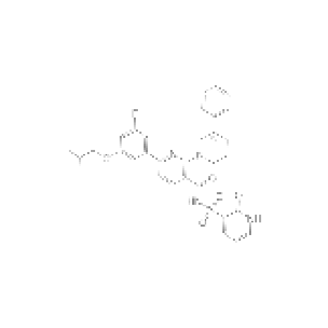 CC(C)COc1cc(F)cc(-c2ccc(C(=O)NS(=O)(=O)c3ccc[nH]c3=O)c(N3CCC[C@@H](c4ccccc4)C3)n2)c1